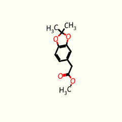 COC(=O)Cc1ccc2c(c1)OC(C)(C)O2